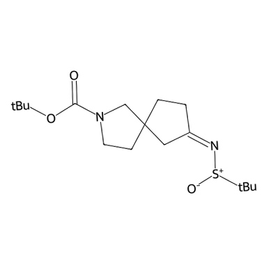 CC(C)(C)OC(=O)N1CCC2(CCC(=N[S+]([O-])C(C)(C)C)C2)C1